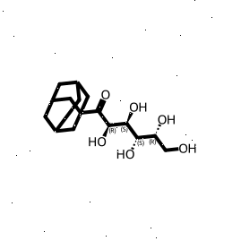 O=C([C@H](O)[C@@H](O)[C@@H](O)[C@H](O)CO)C12CC3CC(CC(C3)C1)C2